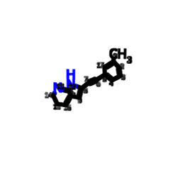 Cc1cccc(C#Cc2cc3c([nH]2)=NCCC=3)c1